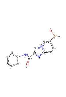 C[S+]([O-])c1ccc2nc(C(=O)Nc3ccccc3)cn2c1